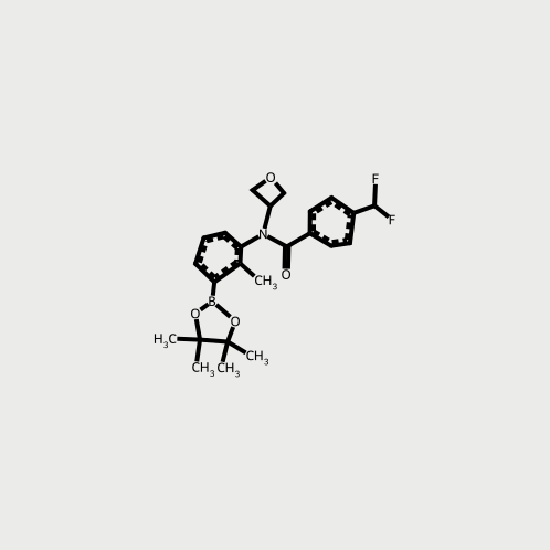 Cc1c(B2OC(C)(C)C(C)(C)O2)cccc1N(C(=O)c1ccc(C(F)F)cc1)C1COC1